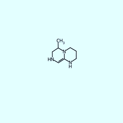 CC1CNC=C2NCCCN21